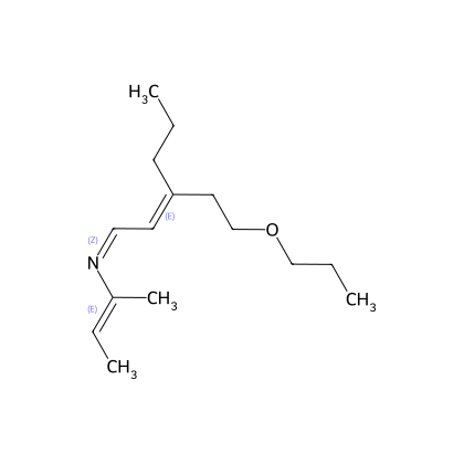 C/C=C(C)/N=C\C=C(/CCC)CCOCCC